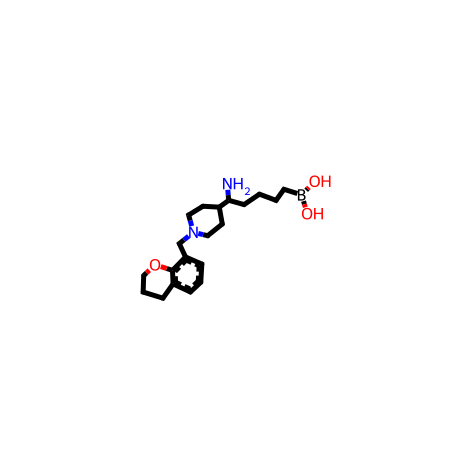 NC(CCCCB(O)O)C1CCN(Cc2cccc3c2OCCC3)CC1